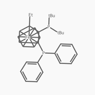 CC[C]12[CH]3[CH]4[C]5(P(c6ccccc6)c6ccccc6)[C]1(P(C(C)(C)C)C(C)(C)C)[Fe]34251678[CH]2[CH]1[CH]6[CH]7[CH]28